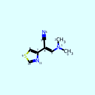 CN(C)C=C(C#N)c1cscn1